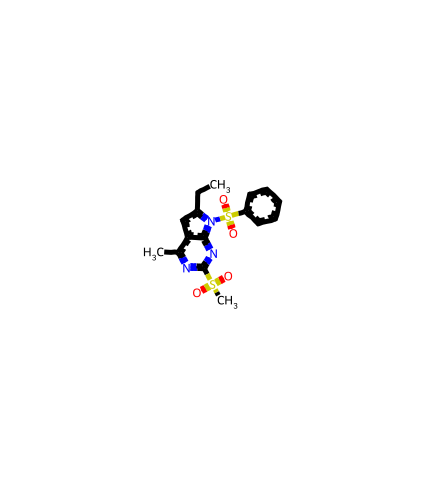 CCc1cc2c(C)nc(S(C)(=O)=O)nc2n1S(=O)(=O)c1ccccc1